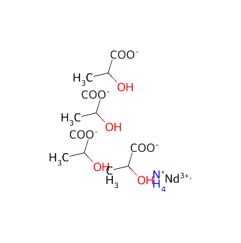 CC(O)C(=O)[O-].CC(O)C(=O)[O-].CC(O)C(=O)[O-].CC(O)C(=O)[O-].[NH4+].[Nd+3]